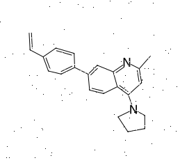 C=Cc1ccc(-c2ccc3c(N4CCCC4)cc(C)nc3c2)cc1